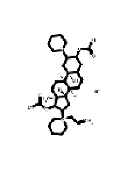 C=CC[N+]1(C2C[C@H]3[C@@H]4CCC5CC(OC(=O)CC)C(N6CCCCC6)C[C@]5(C)[C@@H]4CC[C@]3(C)C2OC(=O)CC)CCCCC1.[Br-]